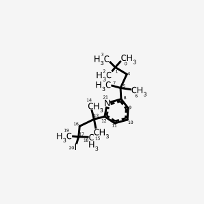 CC(C)(C)CC(C)(C)c1cccc(C(C)(C)CC(C)(C)I)n1